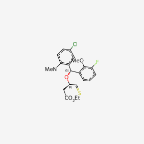 CCOC(=O)C[C@H](C=S)O[C@@H](c1cc(Cl)ccc1NC)c1cccc(F)c1OC